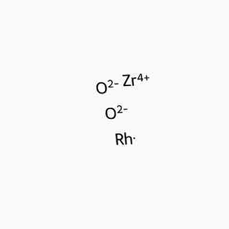 [O-2].[O-2].[Rh].[Zr+4]